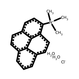 C[N+](C)(C)c1ccc2ccc3cccc4ccc1c2c34.O.O.[Cl-]